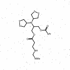 CCCC(=O)OCC(COC(=O)CCNCNC)N(C1CSSC1)C1CSSC1